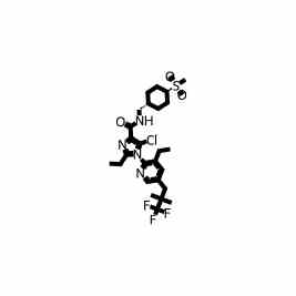 CCc1cc(CC(C)(C)C(F)(F)F)cnc1-n1c(CC)nc(C(=O)NC[C@H]2CC[C@@H](S(C)(=O)=O)CC2)c1Cl